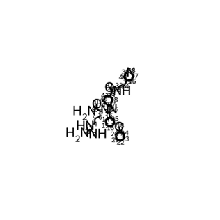 N=C(N)NCCC[C@@H](C(N)=O)n1c(-c2cccc(Oc3ccccc3)c2)nc2cc(C(=O)NCCc3ccncc3)ccc21